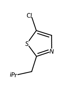 CC(C)Cc1ncc(Cl)s1